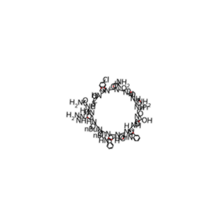 CCCC[C@H]1C(=O)N(C)[C@@H](CCCC)C(=O)N[C@@H](CCCNC(=N)N)C(=O)N[C@H](C(=O)NCC(N)=O)CSCC(=O)N[C@@H](Cc2ccc(Cl)cc2)C(=O)N(C)[C@@H](C)C(=O)N[C@@H](CC(N)=O)C(=O)N2CCC[C@H]2C(=O)N[C@@H](CN)C(=O)N[C@@H](CC(C)C)C(=O)N2C[C@H](O)C[C@H]2C(=O)N[C@@H](Cc2c[nH]c3ccccc23)C(=O)N[C@@H](CO)C(=O)N[C@@H](Cc2c[nH]c3ccccc23)C(=O)N1C